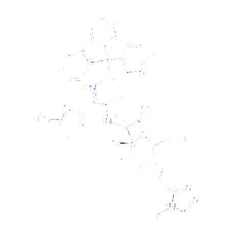 Cn1nnnc1SCC1=C(C(=O)O)N2C(=O)C(NC(=O)/C(=N\OC(c3ccccc3)(c3ccccc3)c3ccccc3)c3nsc(N)n3)[C@H]2SC1